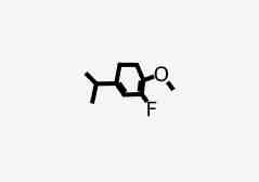 COC1=C(F)C=C(C(C)C)CC1